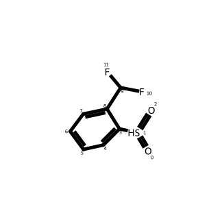 O=[SH](=O)c1ccccc1C(F)F